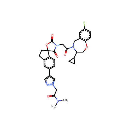 CN(C)C(=O)Cn1cc(-c2ccc3c(c2)CCC32OC(=O)N(CC(=O)N3Cc4cc(F)ccc4OCC3C3CC3)C2=O)cn1